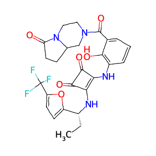 CC[C@@H](Nc1c(Nc2cccc(C(=O)N3CCN4C(=O)CCC4C3)c2O)c(=O)c1=O)c1ccc(C(F)(F)F)o1